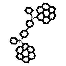 c1ccc(N(c2ccc(-c3ccc(N(c4ccccc4)c4cc5ccc6ccc7ccc8ccc9ccc4c4c9c8c7c6c54)cc3)cc2)c2cc3ccc4ccc5ccc6ccc7ccc2c2c7c6c5c4c32)cc1